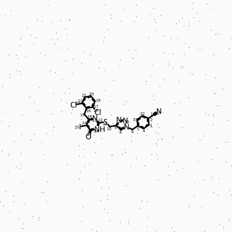 N#Cc1ccc(Cn2cc(CSc3nc(Cc4c(Cl)cccc4Cl)c(I)c(=O)[nH]3)nn2)cc1